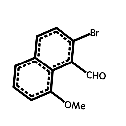 COc1cccc2ccc(Br)c(C=O)c12